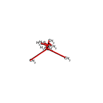 CCCCCCCCC1=C(c2cc(C)cc(C)c2)[N+](=[N-])C(c2cc(CCCC)cc(CCCC)c2)=C1CCCCC.CCCCCCCCCCCCCCCCCCCCCCCCCCCCC[CH2][Ni][CH2]CCCCCCCCCCCCCCCCCCCCCCCCCCCCC